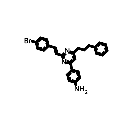 Nc1ccc(-c2cc(CCCc3ccccc3)nc(C=Cc3ccc(Br)cc3)n2)cc1